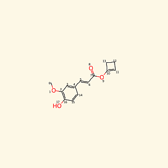 COc1cc(C=CC(=O)OC2=CCC2)ccc1O